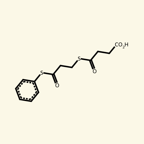 O=C(O)CCC(=O)SCCC(=O)Sc1ccccc1